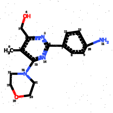 Cc1c(CO)nc(-c2ccc(N)cc2)nc1N1CCOCC1